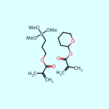 C=C(C)C(=O)OC1CCCCO1.C=C(C)C(=O)OCCC[Si](OC)(OC)OC